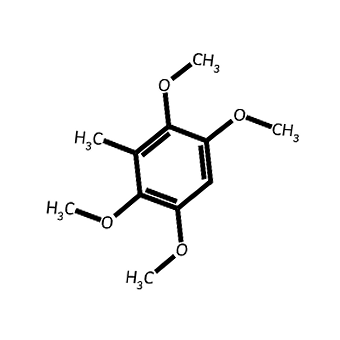 COc1cc(OC)c(OC)c(C)c1OC